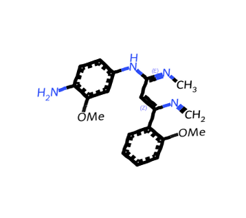 C=N/C(=C\C(=N/C)Nc1ccc(N)c(OC)c1)c1ccccc1OC